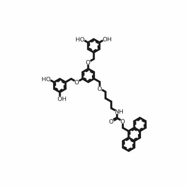 O=C(NCCCCOCc1cc(OCc2cc(O)cc(O)c2)cc(OCc2cc(O)cc(O)c2)c1)OCc1c2ccccc2cc2ccccc12